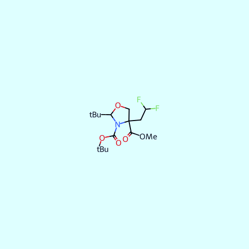 COC(=O)C1(CC(F)F)COC(C(C)(C)C)N1C(=O)OC(C)(C)C